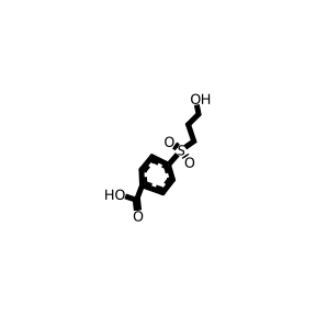 O=C(O)c1ccc(S(=O)(=O)CCCO)cc1